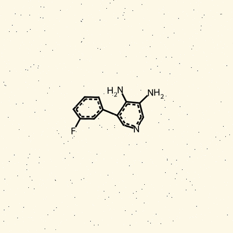 Nc1cncc(-c2cccc(F)c2)c1N